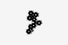 c1ccc(N(c2ccc(C3(c4ccccc4)c4ccccc4-c4ccccc43)cc2)c2ccc3c(ccc4c5ccccc5sc34)c2)cc1